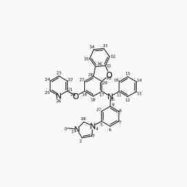 CN1C=CN(c2cccc(N(c3ccccc3)c3cc(Oc4ccccn4)cc4c3oc3ccccc34)c2)C1